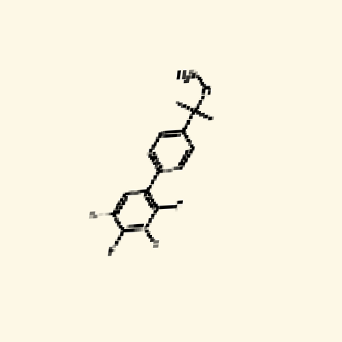 CC(C)(O[SiH3])c1ccc(-c2cc(F)c(F)c(F)c2F)cc1